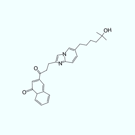 CC(C)(O)CCCCc1ccc2nc(CCC(=O)C3=CC(=O)C4C=CC=CC4=C3)cn2c1